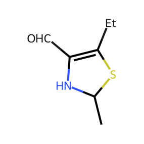 CCC1=C(C=O)NC(C)S1